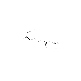 CC(=CCCCC(=O)OC(C)C)CF